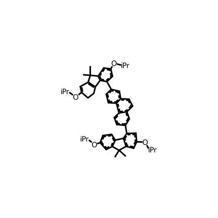 CC(C)OC1=CC2=C(CC1)c1c(-c3ccc4c(ccc5cc(-c6cc(OC(C)C)cc7c6-c6ccc(OC(C)C)cc6C7(C)C)ccc54)c3)cc(OC(C)C)cc1C2(C)C